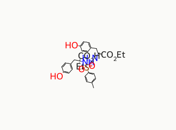 CCOC(=O)[C@@H](N)Cc1ccc(O)cc1.CC[C@@](Cc1ccc(O)cc1)(NS(=O)(=O)c1ccc(C)cc1)C(=O)O